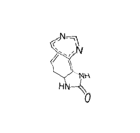 O=C1NC2=c3ncncc3=CCC2N1